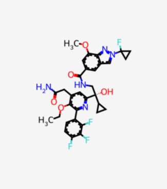 CCOc1c(CC(N)=O)cc([C@@](O)(CNC(=O)c2cc(OC)c3nn(C4(F)CC4)cc3c2)C2CC2)nc1-c1ccc(F)c(F)c1F